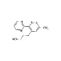 Cc1cc(CCCO)c(-c2ncccn2)nn1